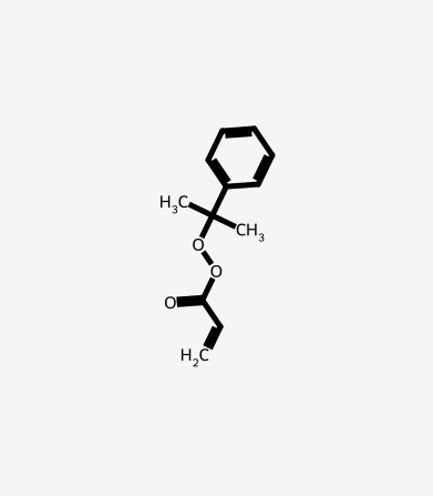 C=CC(=O)OOC(C)(C)c1ccccc1